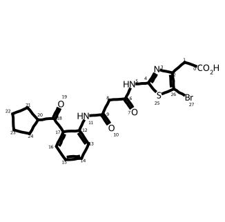 O=C(O)Cc1nc(NC(=O)CC(=O)Nc2ccccc2C(=O)C2CCCC2)sc1Br